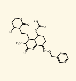 CCC(C)C(=O)OC1CCC(=NOCc2ccccc2)C2=CC(=O)C(C)C(CCC3C(=O)OCCC3O)C21